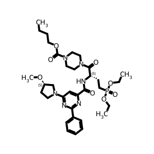 CCCCOC(=O)N1CCN(C(=O)[C@H](CCP(=O)(OCC)OCC)NC(=O)c2cc(N3CC[C@H](OC)C3)nc(-c3ccccc3)n2)CC1